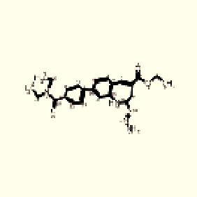 CCOC(=O)C1=Cc2ccc(-c3ccc(C(=O)N(CC)CC)cc3)cc2NC(N=NN)C1